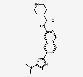 CN(C)c1nnc(-c2ccc3nnc(NC(=O)C4CCNCC4)cc3c2)o1